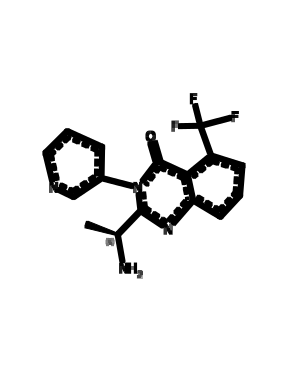 C[C@H](N)c1nc2cccc(C(F)(F)F)c2c(=O)n1-c1cccnc1